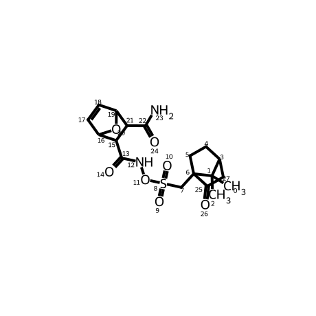 CC1(C)C2CCC1(CS(=O)(=O)ONC(=O)C1C3C=CC(O3)C1C(N)=O)C(=O)C2